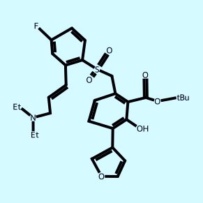 CCN(CC)C/C=C/c1cc(F)ccc1S(=O)(=O)Cc1ccc(-c2ccoc2)c(O)c1C(=O)OC(C)(C)C